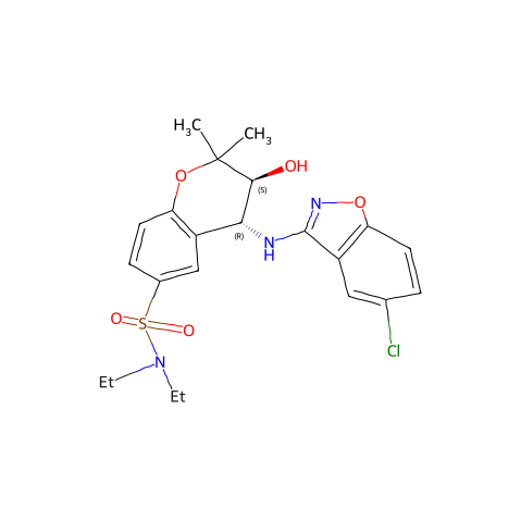 CCN(CC)S(=O)(=O)c1ccc2c(c1)[C@@H](Nc1noc3ccc(Cl)cc13)[C@H](O)C(C)(C)O2